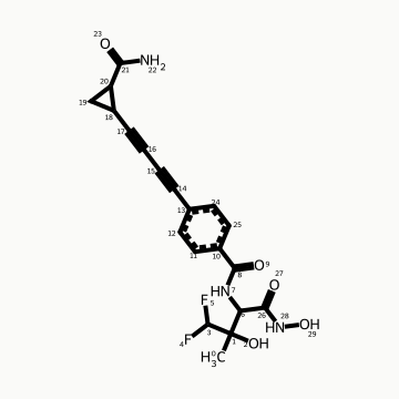 CC(O)(C(F)F)C(NC(=O)c1ccc(C#CC#CC2CC2C(N)=O)cc1)C(=O)NO